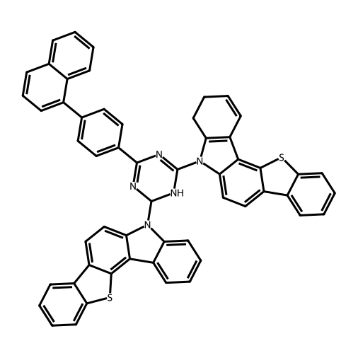 C1=Cc2c(n(C3=NC(c4ccc(-c5cccc6ccccc56)cc4)=NC(n4c5ccccc5c5c6sc7ccccc7c6ccc54)N3)c3ccc4c5ccccc5sc4c23)CC1